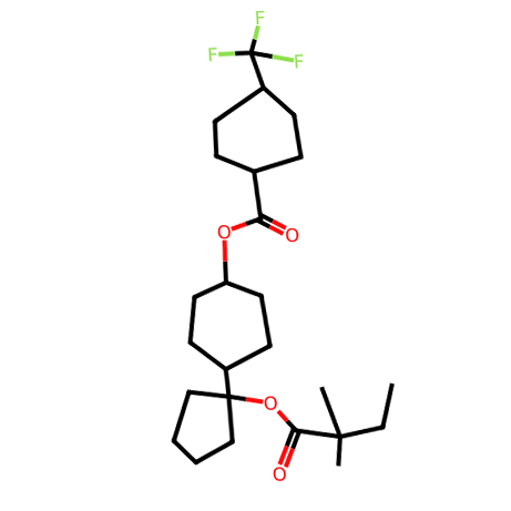 CCC(C)(C)C(=O)OC1(C2CCC(OC(=O)C3CCC(C(F)(F)F)CC3)CC2)CCCC1